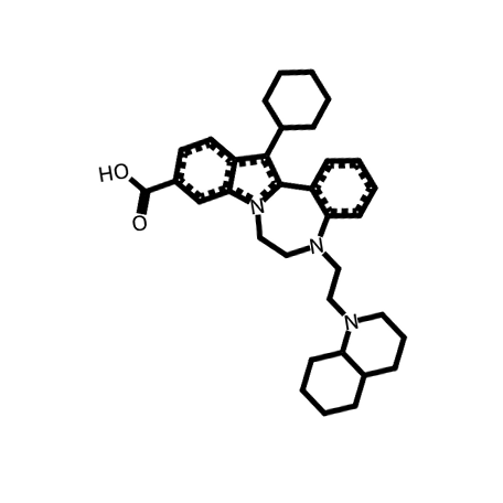 O=C(O)c1ccc2c(C3CCCCC3)c3n(c2c1)CCN(CCN1CCCC2CCCCC21)c1ccccc1-3